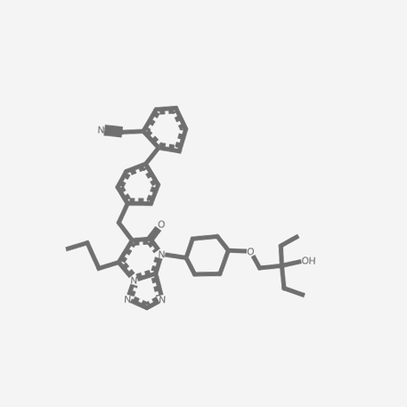 CCCc1c(Cc2ccc(-c3ccccc3C#N)cc2)c(=O)n(C2CCC(OCC(O)(CC)CC)CC2)c2ncnn12